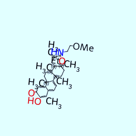 CC[C@]1(C)CC[C@]2(C)C3=CC=C4C(=CC(=O)C(O)=C4C)[C@]3(C)CC[C@@]2(C)[C@@H]1C[C@H](C)C(=O)NCCOC